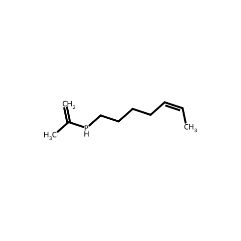 C=C(C)PCCCC/C=C\C